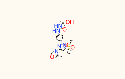 C[C@H]1COCCN1c1cc(C2(S(=O)(=O)C3CC3)CCC2)nc(-c2ccc(NC(=O)NC(C)(C)CO)cc2)n1